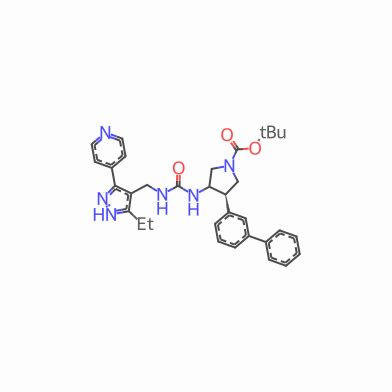 CCc1[nH]nc(-c2ccncc2)c1CNC(=O)NC1CN(C(=O)OC(C)(C)C)C[C@H]1c1cccc(-c2ccccc2)c1